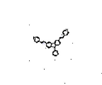 C(=C\c1ccc2c(c1)c1cc(/C=C/c3ccncc3)ccc1n2-c1ccccc1)/c1ccncc1